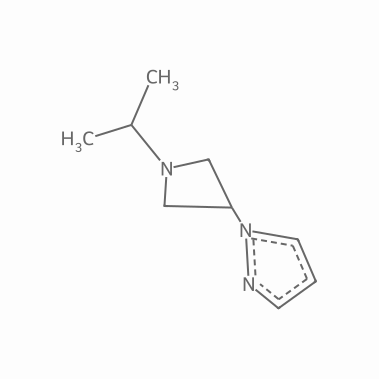 CC(C)N1CC(n2cccn2)C1